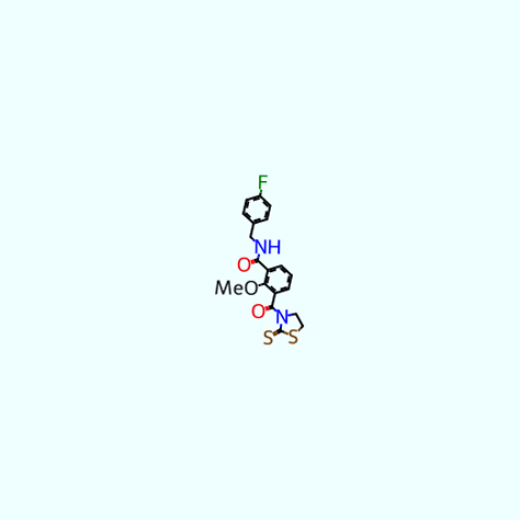 COc1c(C(=O)NCc2ccc(F)cc2)cccc1C(=O)N1CCSC1=S